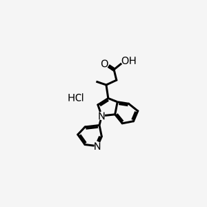 CC(CC(=O)O)c1cn(-c2cccnc2)c2ccccc12.Cl